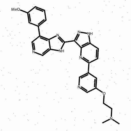 COc1cccc(-c2cncc3[nH]c(-c4n[nH]c5ccc(-c6cncc(OCCN(C)C)c6)nc45)nc23)c1